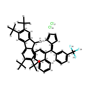 CC(C)(C)c1cc2c(cc1C(C)(C)C)[CH]([Zr+2][C]1=CC=CC1=C(c1cccc(C(F)(F)F)c1)c1cccc3ccccc13)c1cc(C(C)(C)C)c(C(C)(C)C)cc1-2.[Cl-].[Cl-]